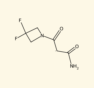 NC(=O)[CH]C(=O)N1CC(F)(F)C1